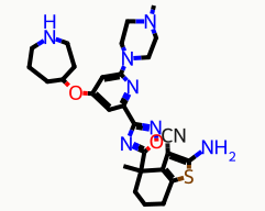 CN1CCN(c2cc(OC3CCCNCC3)cc(-c3noc(C4(C)CCCc5sc(N)c(C#N)c54)n3)n2)CC1